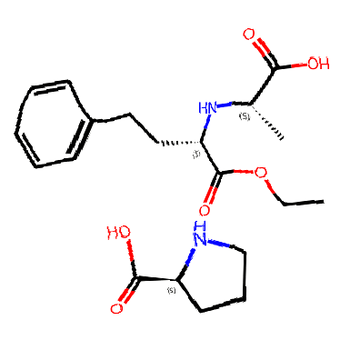 CCOC(=O)[C@H](CCc1ccccc1)N[C@@H](C)C(=O)O.O=C(O)[C@@H]1CCCN1